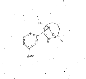 COc1cncc(N2C[C@H]3CC[C@@H]2CN3)c1